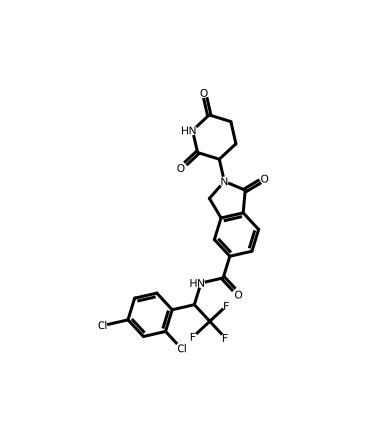 O=C1CCC(N2Cc3cc(C(=O)NC(c4ccc(Cl)cc4Cl)C(F)(F)F)ccc3C2=O)C(=O)N1